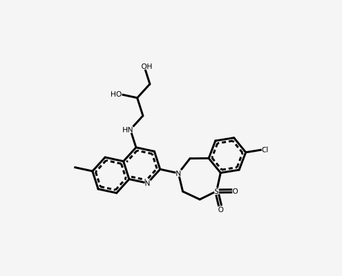 Cc1ccc2nc(N3CCS(=O)(=O)c4cc(Cl)ccc4C3)cc(NCC(O)CO)c2c1